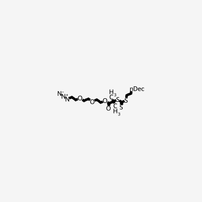 CCCCCCCCCCCCSC(=S)SC(C)(C)C(=O)OCCOCCOCCN=[N+]=[N-]